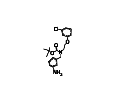 CC(C)(C)OC(=O)N(CCOc1cccc(Cl)c1)Cc1cccc(N)c1